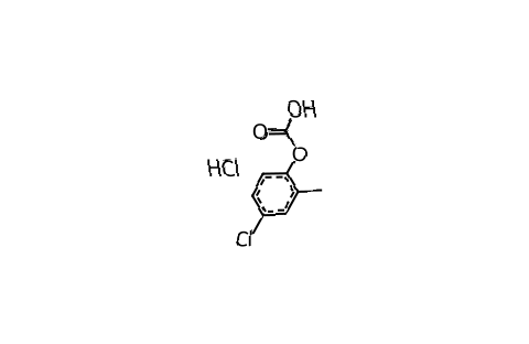 Cc1cc(Cl)ccc1OC(=O)O.Cl